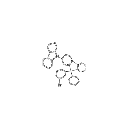 Brc1cccc(C2(c3ccccc3)c3ccccc3-c3ccc(-n4c5ccccc5c5ccccc54)cc32)c1